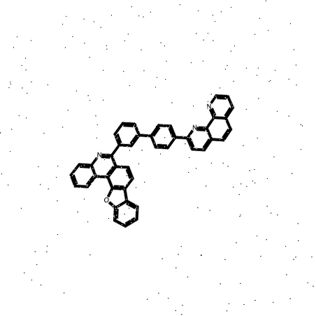 c1cc(-c2ccc(-c3ccc4ccc5cccnc5c4n3)cc2)cc(-c2nc3ccccc3c3c2ccc2c4ccccc4oc23)c1